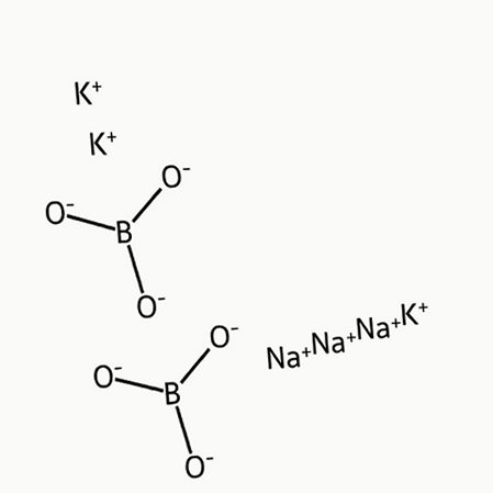 [K+].[K+].[K+].[Na+].[Na+].[Na+].[O-]B([O-])[O-].[O-]B([O-])[O-]